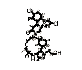 C[C@@H]1CCC[C@H](n2cnc(-c3c(-n4cc(Cl)nn4)ccc(Cl)c3F)cc2=O)c2cc(ccn2)-c2c(cnn2CCO)NC1=O